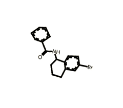 O=C(NC1CCCc2cc(Br)ccc21)c1ccccc1